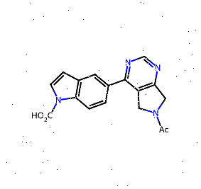 CC(=O)N1Cc2ncnc(-c3ccc4c(ccn4C(=O)O)c3)c2C1